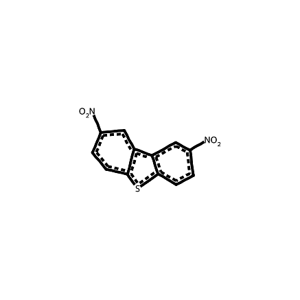 O=[N+]([O-])c1ccc2sc3ccc([N+](=O)[O-])cc3c2c1